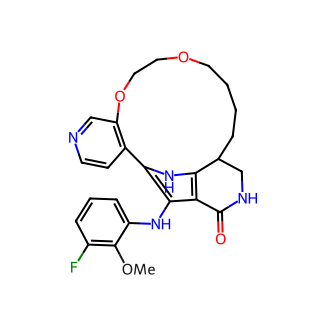 COc1c(F)cccc1Nc1c2[nH]c3c1C(=O)NCC3CCCCOCCOc1cnccc1-2